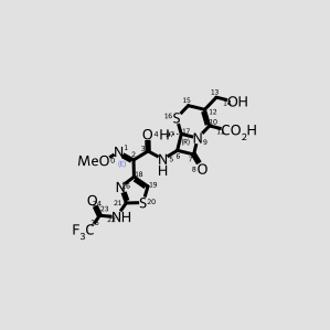 CO/N=C(/C(=O)NC1C(=O)N2C(C(=O)O)=C(CO)CS[C@H]12)c1csc(NC(=O)C(F)(F)F)n1